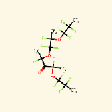 O=C(C(F)(OC(F)(F)C(F)(F)C(F)(F)F)C(F)(F)F)C(F)(OC(F)(F)C(F)(OC(F)(F)C(F)(F)C(F)(F)F)C(F)(F)F)C(F)(F)F